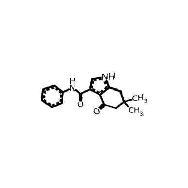 CC1(C)CC(=O)c2c(C(=O)Nc3ccccc3)c[nH]c2C1